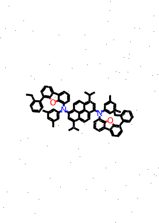 CCc1ccccc1-c1cccc2c1oc1c(N(c3cc(C)cc(C)c3)c3cc(C(C)C)c4ccc5c(N(c6cc(C)cc(C)c6)c6cccc7c6oc6c(-c8ccccc8CC)cccc67)cc(C(C)C)c6ccc3c4c65)cccc12